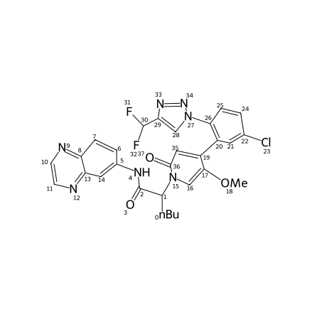 CCCCC(C(=O)Nc1ccc2nccnc2c1)n1cc(OC)c(-c2cc(Cl)ccc2-n2cc(C(F)F)nn2)cc1=O